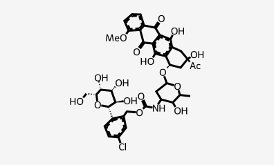 COc1cccc2c1C(=O)c1c(O)c3c(c(O)c1C2=O)C[C@@](O)(C(C)=O)C[C@@H]3OC1CC(NC(=O)OCc2cc(Cl)ccc2[C@@H]2O[C@H](CO)[C@H](O)[C@H](O)[C@H]2O)C(O)C(C)O1